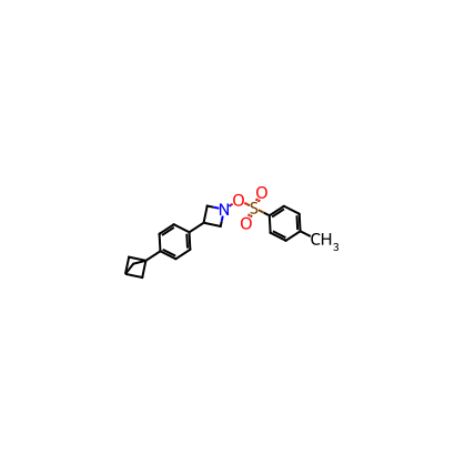 Cc1ccc(S(=O)(=O)ON2CC(c3ccc(C45CC(C4)C5)cc3)C2)cc1